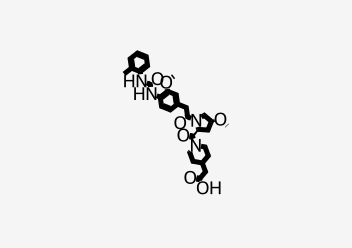 COc1cc(CC(=O)N2C[C@@H](OC)C[C@H]2C(=O)N2CCC(CC(=O)O)CC2)ccc1NC(=O)Nc1ccccc1C